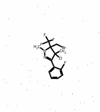 CN1N=C(c2ccccc2F)C(C)(Cl)C1(CBr)C(F)(F)F